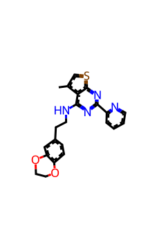 Cc1csc2nc(-c3ccccn3)nc(NCCc3ccc4c(c3)OCCO4)c12